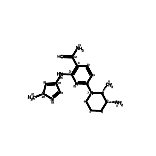 C[C@@H]1[C@H](N)CCCN1c1ccc(C(N)=O)c(Nc2cnn(C)c2)n1